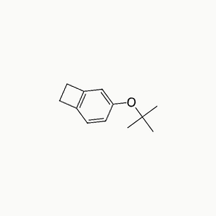 CC(C)(C)Oc1ccc2c(c1)CC2